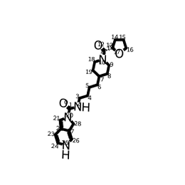 O=C(NCCCCC1CCN(C(=O)[C@@H]2CCCO2)CC1)N1C=C2C=CNC=C2C1